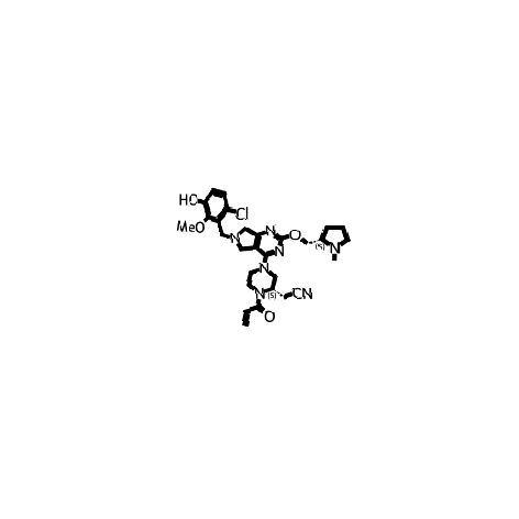 C=CC(=O)N1CCN(c2nc(OC[C@@H]3CCCN3C)nc3c2CN(Cc2c(Cl)ccc(O)c2OC)C3)C[C@@H]1CC#N